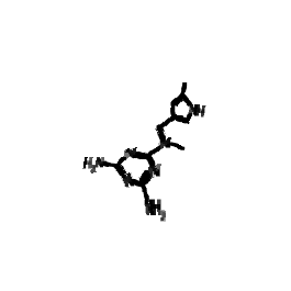 Cc1cc(CN(C)c2nc(N)nc(N)n2)c[nH]1